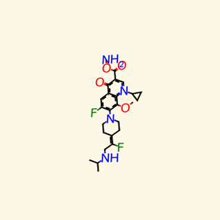 COc1c(N2CCC(=C(F)CNC(C)C)CC2)c(F)cc2c(=O)c(C(=O)ON)cn(C3CC3)c12